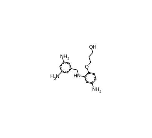 Nc1cc(N)cc(CNc2cc(N)ccc2OCCCO)c1